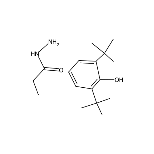 CC(C)(C)c1cccc(C(C)(C)C)c1O.CCC(=O)NN